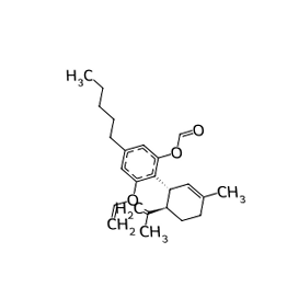 C=COc1cc(CCCCC)cc(OC=O)c1[C@@H]1C=C(C)CC[C@H]1C(=C)C